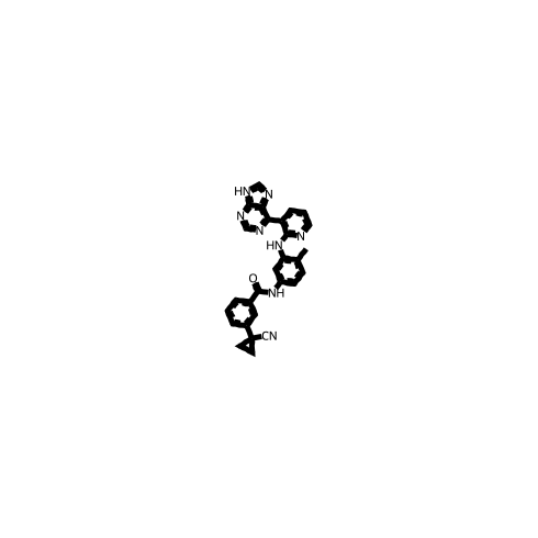 Cc1ccc(NC(=O)c2cccc(C3(C#N)CC3)c2)cc1Nc1ncccc1-c1ncnc2[nH]cnc12